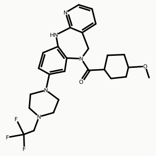 COC1CCC(C(=O)N2Cc3cccnc3Nc3ccc(N4CCN(CC(F)(F)F)CC4)cc32)CC1